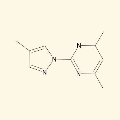 Cc1cnn(-c2nc(C)cc(C)n2)c1